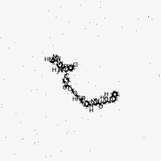 NC1(C(=O)N[C@@H](CCN2CCN(C(=O)COCCOCCNC(=O)CN3CCC(Nc4cc(C(=O)NC[C@H](O)CN5CCc6ccccc6C5)ncn4)CC3)CC2)c2ccc(Cl)cc2)CCN(c2ncnc3[nH]ccc23)CC1